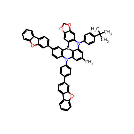 Cc1cc2c3c(c1)N(c1ccc(C(C)(C)C)cc1)c1cc4c(cc1B3c1cc(-c3ccc5c(c3)oc3ccccc35)ccc1N2c1ccc(-c2ccc3c(c2)oc2ccccc23)cc1)OCO4